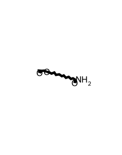 NC(=O)CCCCCCCCCCCOCC1CO1